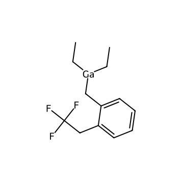 C[CH2][Ga]([CH2]C)[CH2]c1ccccc1CC(F)(F)F